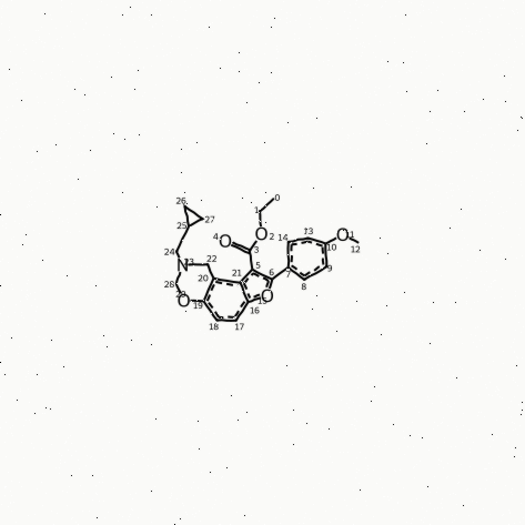 CCOC(=O)c1c(-c2ccc(OC)cc2)oc2ccc3c(c12)CN(CC1CC1)CO3